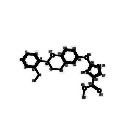 CCc1ccccc1C1CCc2cc(Oc3ncc(C(=O)OC)s3)ccc2O1